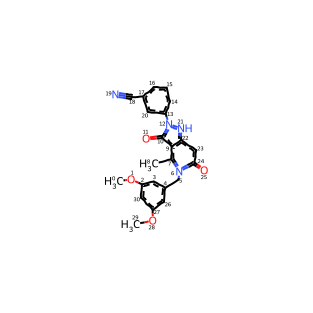 COc1cc(Cn2c(C)c3c(=O)n(-c4cccc(C#N)c4)[nH]c3cc2=O)cc(OC)c1